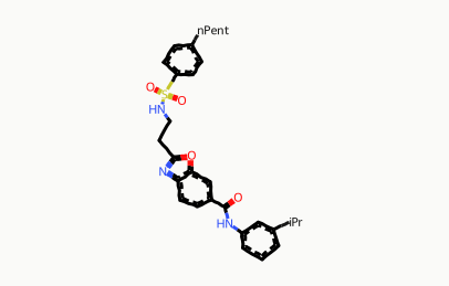 CCCCCc1ccc(S(=O)(=O)NCCc2nc3ccc(C(=O)Nc4cccc(C(C)C)c4)cc3o2)cc1